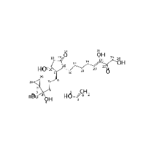 C=CO.CCCCC(O)(CCC[C@H]1[C@H](O)CC(=O)[C@@H]1CCCCC=C(O)C(=O)CO)C1CC1